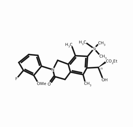 CCOC(=O)[C@@H](O)c1c(C)c2c(c(C)c1[Si](C)(C)C)CN(c1cccc(F)c1OC)C(=O)C2